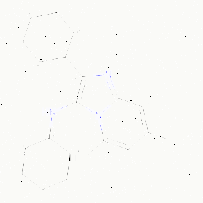 Cc1cc(C)n2c(NC3CCCCC3)c(C3CCCCC3)nc2c1